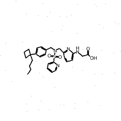 CCCCC1(c2ccc(CN(Cc3cccc(NCC(=O)O)n3)S(=O)(=O)c3ccccn3)cc2)CCC1